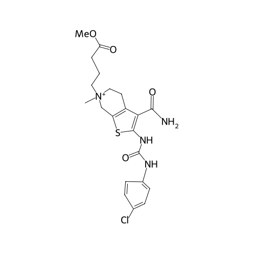 COC(=O)CCC[N+]1(C)CCc2c(sc(NC(=O)Nc3ccc(Cl)cc3)c2C(N)=O)C1